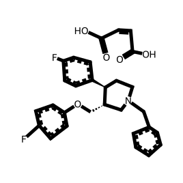 Fc1ccc(OC[C@H]2CN(Cc3ccccc3)CC[C@@H]2c2ccc(F)cc2)cc1.O=C(O)/C=C\C(=O)O